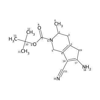 CC1CC2=C(CN1C(=O)OC(C)(C)C)C(C#N)=C(N)C2